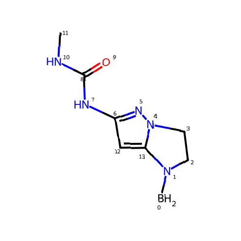 BN1CCn2nc(NC(=O)NC)cc21